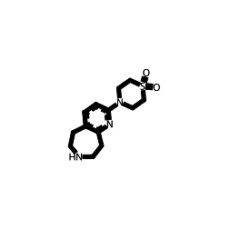 O=S1(=O)CCN(c2ccc3c(n2)CCNCC3)CC1